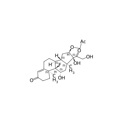 CC(=O)CO[C@@H]1C[C@H]2[C@@H]3CCC4=CC(=O)CC[C@]4(C)[C@@]3(F)[C@@H](O)C[C@]2(C)[C@@]1(O)C(=O)CO